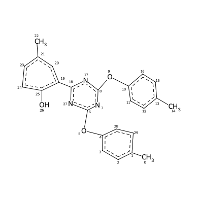 Cc1ccc(Oc2nc(Oc3ccc(C)cc3)nc(-c3cc(C)ccc3O)n2)cc1